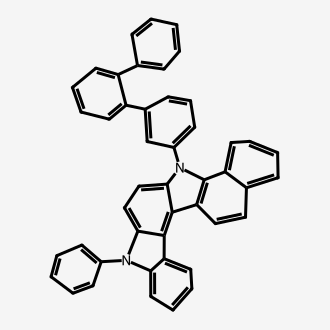 c1ccc(-c2ccccc2-c2cccc(-n3c4ccc5c(c6ccccc6n5-c5ccccc5)c4c4ccc5ccccc5c43)c2)cc1